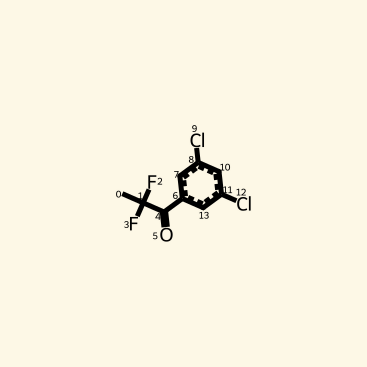 CC(F)(F)C(=O)c1cc(Cl)cc(Cl)c1